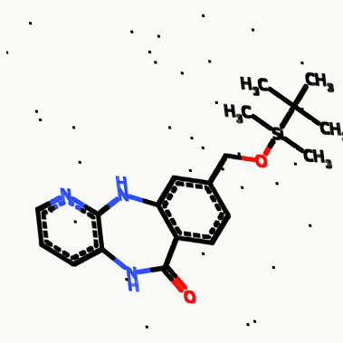 CC(C)(C)[Si](C)(C)OCc1ccc2c(c1)Nc1ncccc1NC2=O